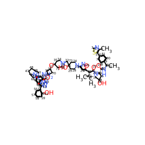 Cc1ncsc1-c1ccc([C@H](C)NC(=O)[C@@H]2C[C@@H](O)CN2C(=O)[C@H](c2cc(N3CCC(O)(CN4CCC(O[C@H]5C[C@H](Oc6cc(N7C8CCC7CN(c7cc(-c9ccccc9O)nnc7N)C8)ccn6)C5)CC4)CC3)no2)C(C)C)cc1